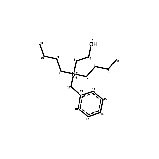 CCCC[N+](CCO)(CCCC)Cc1ccccc1